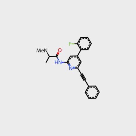 CNC(C)C(=O)Nc1cc(-c2ccccc2F)cc(C#Cc2ccccc2)n1